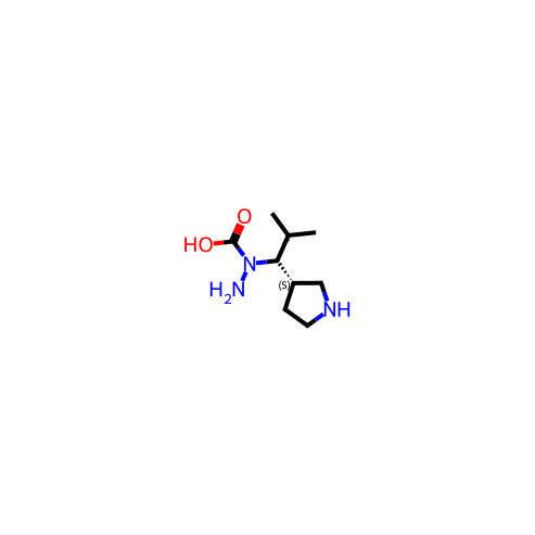 C[C](C)C([C@H]1CCNC1)N(N)C(=O)O